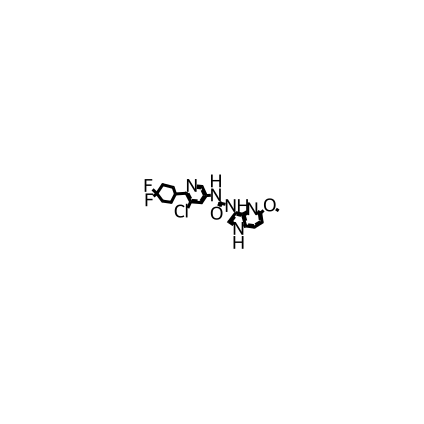 COc1ccc2[nH]cc(NC(=O)Nc3cnc(C4CCC(F)(F)CC4)c(Cl)c3)c2n1